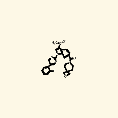 C[S+]([O-])c1cn(-c2ncc(-c3ccccc3F)cn2)c2cc(C(=O)N3CCC4(CC3)COC4)ccc12